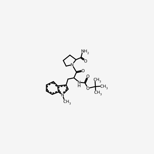 Cn1cc(CC(NC(=O)OC(C)(C)C)C(=O)N2CCCC2C(N)=O)c2ccccc21